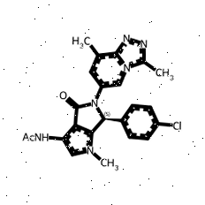 CC(=O)Nc1cn(C)c2c1C(=O)N(c1cc(C)c3nnc(C)n3c1)[C@H]2c1ccc(Cl)cc1